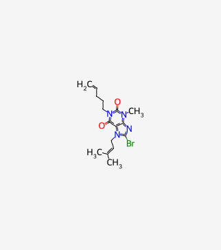 C=CCCCn1c(=O)c2c(nc(Br)n2CC=C(C)C)n(C)c1=O